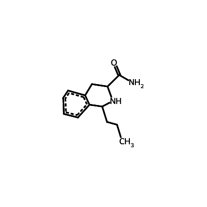 CCCC1NC(C(N)=O)Cc2ccccc21